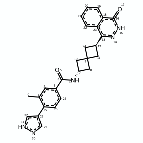 Cc1cc(C(=O)N[C@H]2CC3(C2)C[C@H](c2n[nH]c(=O)c4ccccc42)C3)ccc1-c1cn[nH]c1